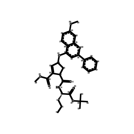 CCC[C@H](NC(=O)C1CC(Oc2cc(-c3ccccc3)nc3cc(OC)ccc23)C=C1C(=O)OC)C(=O)OC(C)(C)C